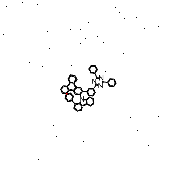 c1ccc(-c2nc(-c3ccccc3)nc(-c3cccc(-c4cc5c6ccccc6c6ccccc6c5cc4-n4c5ccccc5c5cccc(-c6ccccc6)c54)c3)n2)cc1